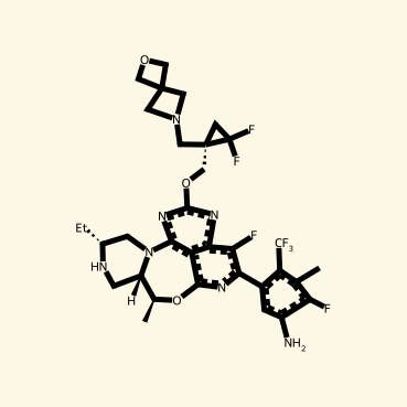 CC[C@@H]1CN2c3nc(OC[C@]4(CN5CC6(COC6)C5)CC4(F)F)nc4c(F)c(-c5cc(N)c(F)c(C)c5C(F)(F)F)nc(c34)O[C@@H](C)[C@@H]2CN1